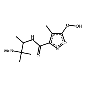 CNC(C)(C)C(C)NC(=O)c1noc(OO)c1C